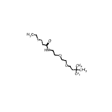 CCSCCC(=O)NCCOCCOCCC(C)(C)C